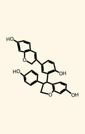 Oc1ccc(C2COc3cc(O)ccc3C2c2cc(C3=Cc4ccc(O)cc4OC3)ccc2O)cc1